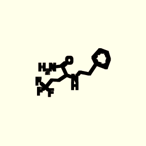 NC(=O)C(CCC(F)(F)F)NCCc1ccccc1